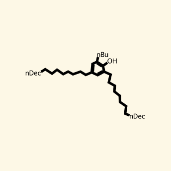 CCCCCCCCCCCCCCCCCCc1cc(CCCC)c(O)c(CCCCCCCCCCCCCCCCCC)c1